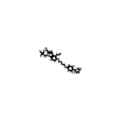 CCCc1c(OCCCCOc2ccc(-c3nnn[nH]3)cc2)ccc2c1cc(C)n2CC(C)(C)C